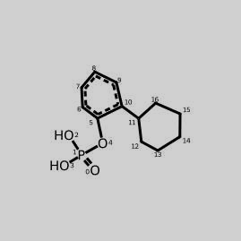 O=P(O)(O)Oc1ccccc1C1CCCCC1